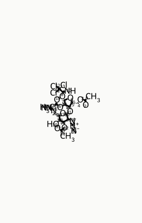 CC(=O)OC[C@H]1OC(OC(=N)C(Cl)(Cl)Cl)[C@H](OC(C)=O)[C@@H]1O[C@H]1O[C@@H](CN=[N+]=[N-])[C@@H](O)[C@H](OC(C)=O)C1N=[N+]=[N-]